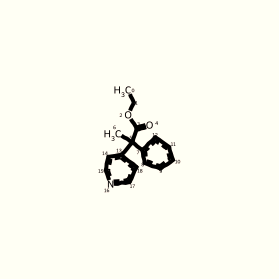 CCOC(=O)C(C)(c1ccccc1)c1ccncc1